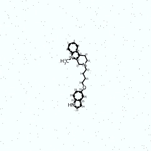 Cn1c2c(c3ccccc31)CCN(CCCCOc1ccc3[nH]ccc3c1)C2